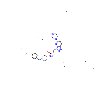 O=C(CCc1nnc2ccc(N3CCNCC3)nn12)NC1CCN(Cc2ccccc2)CC1